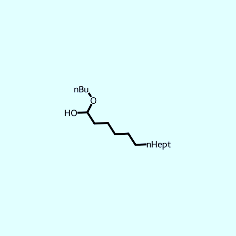 CCCCCCCCCCCCC(O)OCCCC